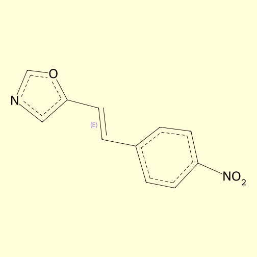 O=[N+]([O-])c1ccc(/C=C/c2cnco2)cc1